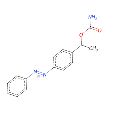 CC(OC(N)=O)c1ccc(/N=N/c2ccccc2)cc1